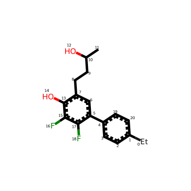 CCc1ccc(-c2cc(CCC(C)O)c(O)c(F)c2F)cc1